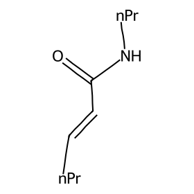 CCCC=CC(=O)NCCC